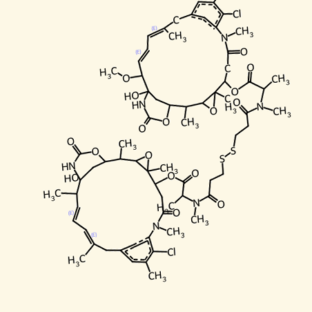 COc1cc2cc(c1Cl)N(C)C(=O)CC(OC(=O)C(C)N(C)C(=O)CCSSCCC(=O)N(C)C(C)C(=O)OC1CC(=O)N(C)c3cc(cc(C)c3Cl)C/C(C)=C/C=C/C(C)C3(O)CC(OC(=O)N3)C(C)C3OC13C)C1(C)OC1C(C)C1CC(O)(NC(=O)O1)C(OC)/C=C/C=C(\C)C2